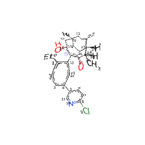 CCc1ccc(-c2ccc(Cl)nc2)cc1/C1=C(\O)C[C@H]2CC[C@H](CC2)[C@H](C)C1=O